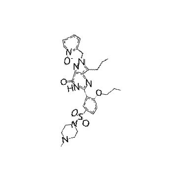 CCCOc1ccc(S(=O)(=O)N2CCN(C)CC2)cc1-c1nc2c(CCC)n(Cc3cccc[n+]3[O-])nc2c(=O)[nH]1